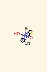 N#Cc1ccccc1Cn1c(NCCO)nc2c(Br)csc2c1=O